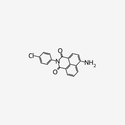 Nc1ccc2c3c(cccc13)C(=O)N(c1ccc(Cl)cc1)C2=O